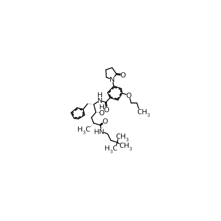 CCCOc1cc(C(=O)N[C@@H](Cc2ccccc2)[C@H](O)C[C@@H](C)C(=O)NCCC(C)(C)C)cc(N2CCCC2=O)c1